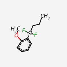 CCC[Si](F)(F)c1ccccc1OC